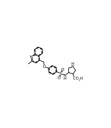 Cc1cc(COc2ccc(S(=O)(=O)NC3CNCC3C(=O)O)cc2)c2ccccc2n1